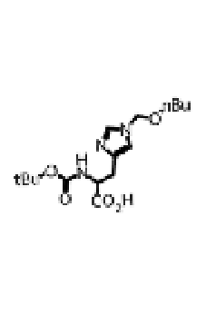 CCCCOCn1cnc(C[C@H](NC(=O)OC(C)(C)C)C(=O)O)c1